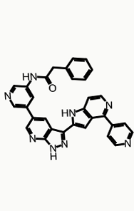 O=C(Cc1ccccc1)Nc1cncc(-c2cnc3[nH]nc(-c4cc5c(-c6ccncc6)nccc5[nH]4)c3c2)c1